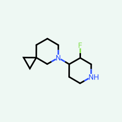 FC1CNCCC1N1CCCC2(CC2)C1